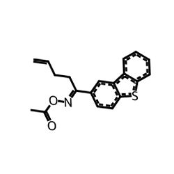 C=CCC/C(=N\OC(C)=O)c1ccc2sc3ccccc3c2c1